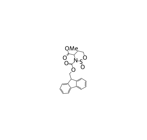 COC(=O)C1CCOS(=O)N1C(=O)OCC1c2ccccc2-c2ccccc21